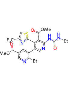 CCNC(=O)Nc1ncc(-c2cc(C(=O)OC)cnc2CC)c(-c2nc(C(F)(F)F)cs2)c1C(=O)OC